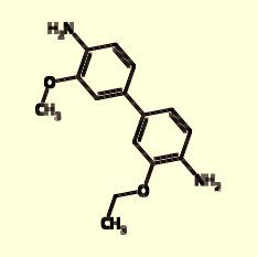 CCOc1cc(-c2ccc(N)c(OC)c2)ccc1N